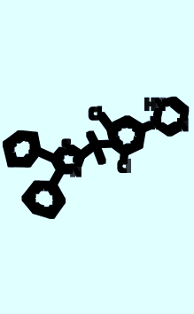 CC(C)(c1nc(-c2ccccc2)c(-c2ccccc2)s1)c1c(Cl)cc(N2C=NC=CN2)cc1Cl